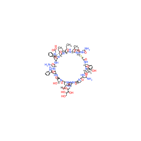 CCCC[C@H]1C(=O)N(C)[C@@H](CCCC)C(=O)N[C@@H](CC(C)C)C(=O)N[C@H](C(=O)NCC(N)=O)CSCC(=O)N[C@@H](Cc2ccc(O)cc2)C(=O)N(C)[C@@H](C)C(=O)N[C@@H](CC(N)=O)C(=O)N2CCC[C@H]2C(=O)N[C@@H](CNC[C@H](O)[C@@H](O)[C@@H](O)CO)C(=O)N[C@@H](CC(C)C)C(=O)N2C[C@H](O)C[C@H]2C(=O)N[C@@H](Cc2c[nH]c3ccccc23)C(=O)N[C@@H](CCN)C(=O)N[C@@H](Cc2cn(CC(=O)O)c3ccccc23)C(=O)N1C